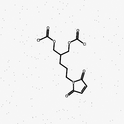 O=C(Cl)OCC(CCCN1C(=O)C=CC1=O)COC(=O)Cl